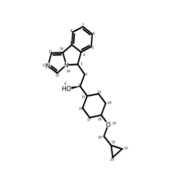 O[C@@H](CC1c2ccccc2-c2cncn21)C1CCC(OCC2CC2)CC1